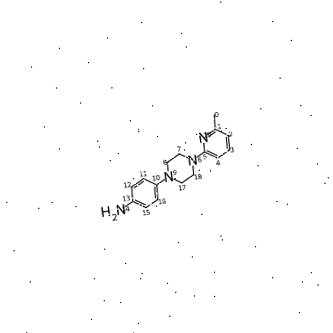 Cc1cccc(N2CCN(c3ccc(N)cc3)CC2)n1